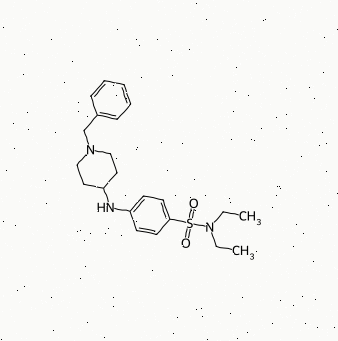 CCN(CC)S(=O)(=O)c1ccc(NC2CCN(Cc3ccccc3)CC2)cc1